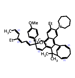 C\C=C/C(=C\C=C\C(C)(/C=C\c1c2c(c3cc(N4CCCCCC4)c(CC)cc3c1C)C1=CC(/C=C\C/C=C\1)C2(C)C)c1ccc(OC)cc1)CC